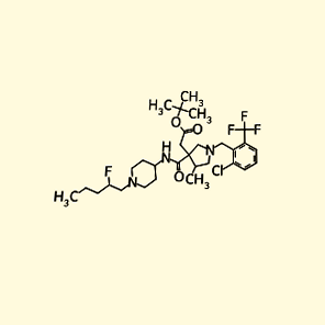 CCCC(F)CN1CCC(NC(=O)C2(CC(=O)OC(C)(C)C)CN(Cc3c(Cl)cccc3C(F)(F)F)CC2C)CC1